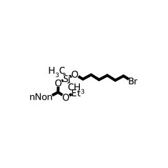 CCCCCCCCCC(OCC)O[Si](C)(C)OCCCCCCBr